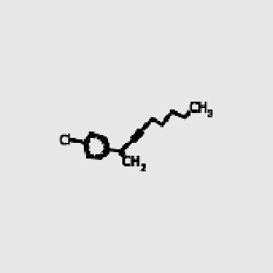 C=C(C#CCCCCC)c1ccc(Cl)cc1